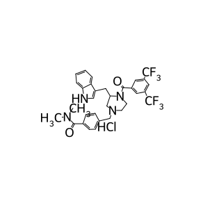 CN(C)C(=O)c1ccc(CN2CCN(C(=O)c3cc(C(F)(F)F)cc(C(F)(F)F)c3)C(Cc3c[nH]c4ccccc34)C2)cc1.Cl